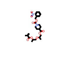 C=C(C)C(=O)OC(C)COC(C)COC(=O)C1CCN(C(=O)OCc2ccccc2[N+](=O)[O-])CC1